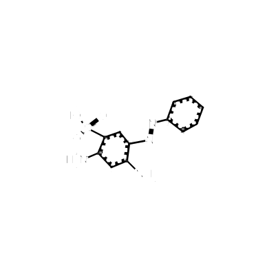 Nc1cc(N)c(S(=O)(=O)O)cc1/N=N/c1ccccc1